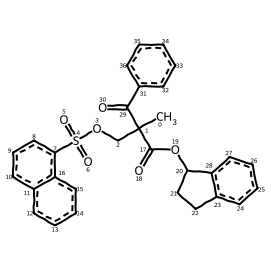 CC(COS(=O)(=O)c1cccc2ccccc12)(C(=O)OC1CCc2ccccc21)C(=O)c1ccccc1